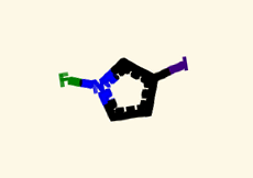 Fn1ccc(I)c1